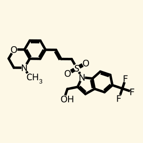 CN1CCOc2ccc(C=CCS(=O)(=O)n3c(CO)cc4cc(C(F)(F)F)ccc43)cc21